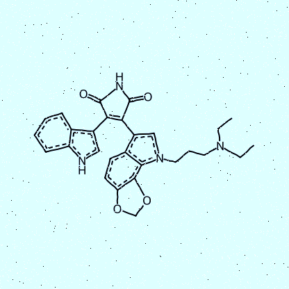 CCN(CC)CCCn1cc(C2=C(c3c[nH]c4ccccc34)C(=O)NC2=O)c2ccc3c(c21)OCO3